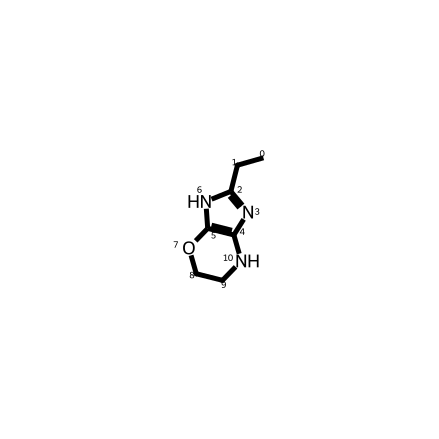 CCc1nc2c([nH]1)OCCN2